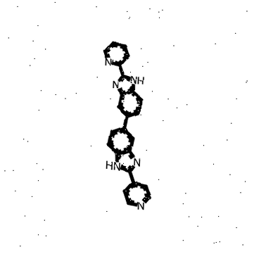 c1ccc(-c2nc3cc(-c4ccc5[nH]c(-c6ccncc6)nc5c4)ccc3[nH]2)nc1